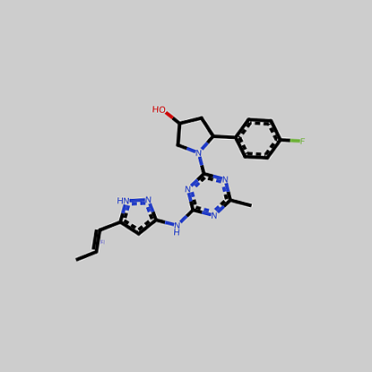 C/C=C/c1cc(Nc2nc(C)nc(N3CC(O)CC3c3ccc(F)cc3)n2)n[nH]1